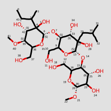 CCC(C)C1(O)[C@H](O[C@@H]2C(CO)O[C@@H](O[C@@H]3C(CO)O[C@@H](OC)C(O)[C@H]3O)C(O)(CC(C)C)[C@H]2O)OC(CO)[C@@H](OC)[C@@H]1O